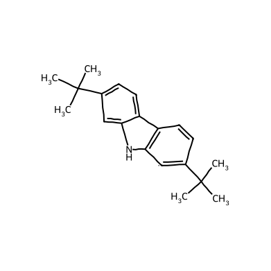 CC(C)(C)c1[c]c2[nH]c3cc(C(C)(C)C)ccc3c2cc1